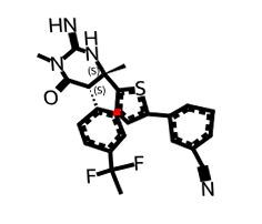 CN1C(=N)N[C@](C)(c2ccc(-c3cccc(C#N)c3)s2)[C@H](c2ccc(C(C)(F)F)cc2)C1=O